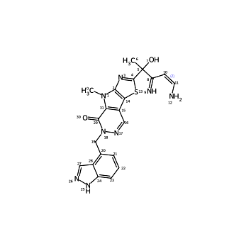 Cn1c2nc(C(C)(O)C(=N)/C=C\N)sc2c2cnn(Cc3cccc4[nH]ncc34)c(=O)c21